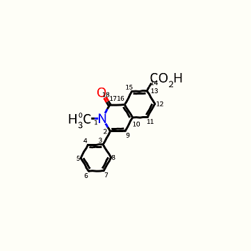 Cn1c(-c2ccccc2)cc2ccc(C(=O)O)cc2c1=O